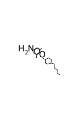 CCCCCC1CCC(COc2c(C)cc(N)cc2C)CC1